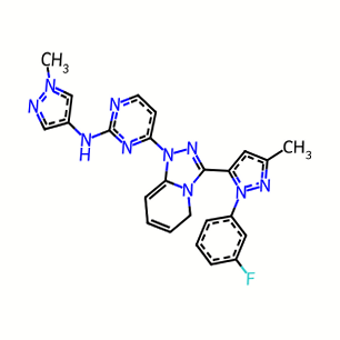 Cc1cc(C2=NN(c3ccnc(Nc4cnn(C)c4)n3)C3=CC=CCN32)n(-c2cccc(F)c2)n1